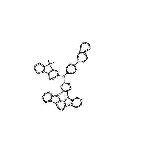 CC1(C)c2ccccc2-c2ccc(N(c3ccc(-c4ccc5ccccc5c4)cc3)c3ccc4c(c3)n3c5ccccc5c5ccc6c7ccccc7n4c6c53)cc21